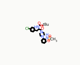 CC(C)(C)OC(=O)NC(Cc1ccc(Cl)cc1)C(=O)N1CCN(c2ccccc2NS(C)(=O)=O)CC1